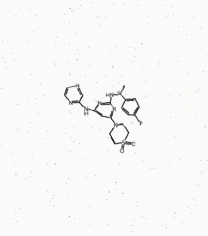 C[C@H](Nc1nc(Nc2cnccn2)cc(N2CCS(=O)(=O)CC2)n1)c1ccc(F)cc1